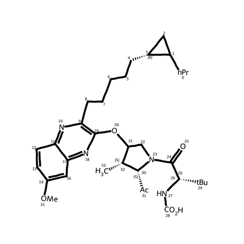 CCCC1C[C@H]1CCCCCc1nc2ccc(OC)cc2nc1OC1CN(C(=O)[C@@H](NC(=O)O)C(C)(C)C)[C@H](C(C)=O)[C@@H]1C